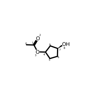 CC(=O)OC1CC[C@H](O)C1